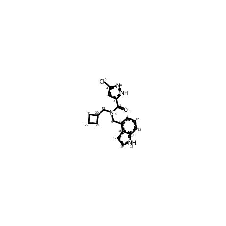 O=C(c1cc(Cl)n[nH]1)N(Cc1cccc2[nH]ccc12)CC1CCC1